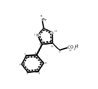 CC(C)c1nc(-c2ccccc2)c(CC(=O)O)s1